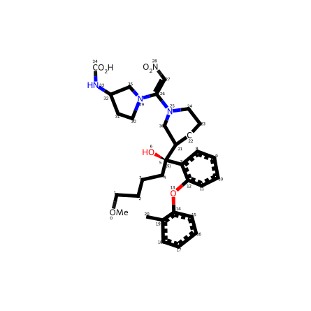 COCCCC[C@@](O)(c1ccccc1Oc1ccccc1C)C1CCCN(C(=C[N+](=O)[O-])N2CCC(NC(=O)O)C2)C1